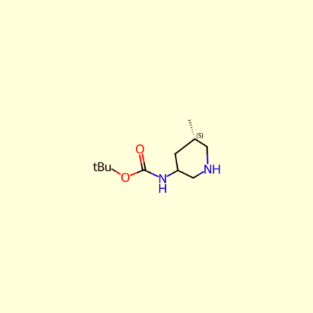 C[C@@H]1CNCC(NC(=O)OC(C)(C)C)C1